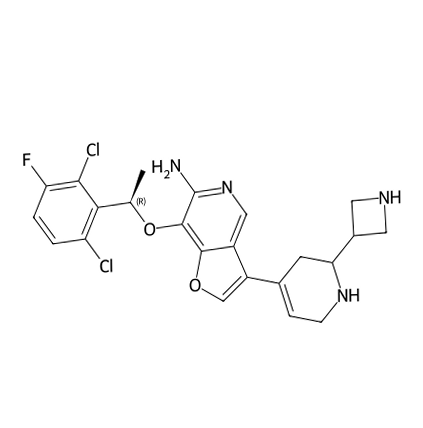 C[C@@H](Oc1c(N)ncc2c(C3=CCNC(C4CNC4)C3)coc12)c1c(Cl)ccc(F)c1Cl